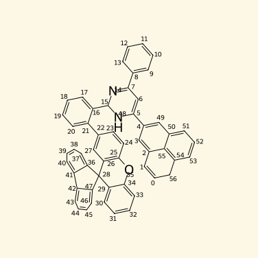 C1=Cc2cc(C3=CC(c4ccccc4)=NC(c4ccccc4-c4ccc5c(c4)C4(c6ccccc6O5)c5ccccc5-c5ccccc54)N3)cc3cccc(c23)C1